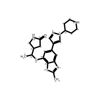 Cc1nc2cc(-c3cnn(C4CCNCC4)c3)cc(OC(C)C3CNC(=O)C3)c2s1